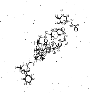 C=C(Br)C[C@H](CC[C@@]12C[C@H]3O[C@H]4[C@@H](O1)[C@H]1O[C@@H](CC(=O)CC5[C@H](CC6O[C@@H](CCC=O)C[C@@H](C)C6=C)O[C@H](C[C@H](C)CO[Si](C)(C)C(C)(C)C)[C@@H]5C)CC[C@@H]1O[C@H]4[C@H]3O2)OC(=O)c1ccccc1